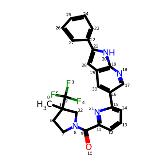 CC1(C(F)(F)F)CCN(C(=O)c2cccc(-c3cnc4[nH]c(-c5ccccc5)cc4c3)n2)C1